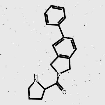 O=C(C1CCCN1)N1Cc2ccc(-c3ccccc3)cc2C1